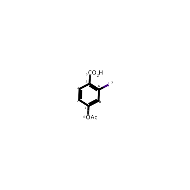 CC(=O)Oc1ccc(C(=O)O)c(I)c1